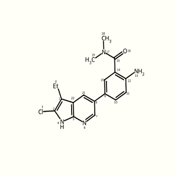 CCc1c(Cl)[nH]c2ncc(-c3ccc(N)c(C(=O)N(C)C)c3)cc12